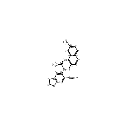 CC(=O)N(Cc1ccc2ccc(N)nc2c1)c1nc2c(cc1C#N)CCC2